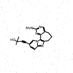 CNc1ncc2c(n1)-c1c(nc3ccc(C#CC(C)(C)O)cn13)CCC2